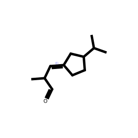 CC(C=O)/C=C1\CCC(C(C)C)C1